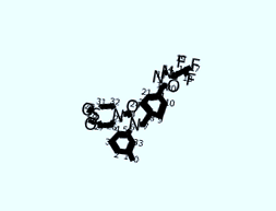 Cc1cccc(N(Cc2ccc(-c3nnc(C(F)(F)F)o3)cc2)C(=O)N2CCS(=O)(=O)CC2)c1